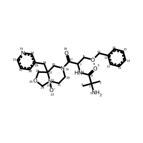 CC(C)(N)C(=O)NC(COCc1ccccc1)C(=O)N1CC[N+]2([O-])COCC2(Cc2cccnc2)C1